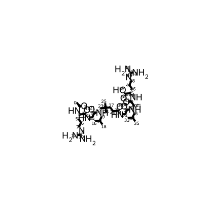 CC(=O)N[C@@H](CCCN=C(N)N)C(=O)N[C@@H](CC(C)C)C(=O)NCC(C)(C)CCC(=O)N[C@@H](CC(C)C)C(=O)N[C@@H](C)C(=O)N[C@@H](CCCN=C(N)N)C(=O)O